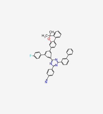 CC1(C)Oc2cc(-c3cc(-c4ccc(F)cc4)cc(-c4nc(-c5ccc(C#N)cc5)nc(-c5cccc(-c6ccccc6)c5)n4)c3)ccc2-c2ccccc21